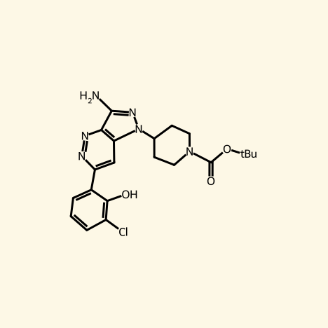 CC(C)(C)OC(=O)N1CCC(n2nc(N)c3nnc(-c4cccc(Cl)c4O)cc32)CC1